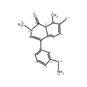 CC1C(F)=CC=C2C(c3cccc(SN)c3)=CN(C)C(=O)C21